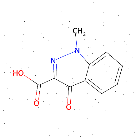 Cn1nc(C(=O)O)c(=O)c2ccccc21